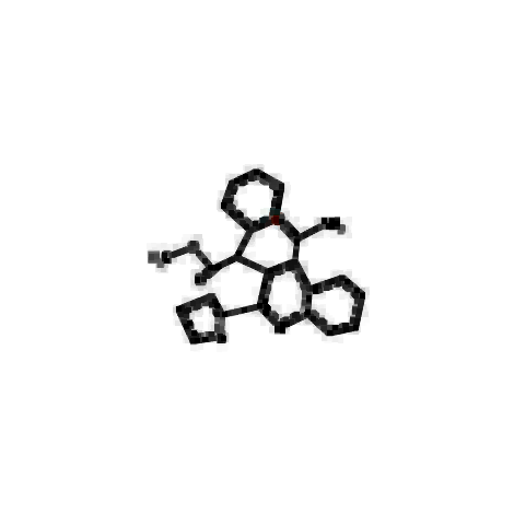 COC(=O)C(c1ccccc1)c1c(-c2cccs2)nc2ccccc2c1C(N)=O